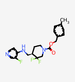 Cc1ccc(COC(=O)N2CC[C@H](CNc3ccncc3F)C(F)(F)C2)cc1